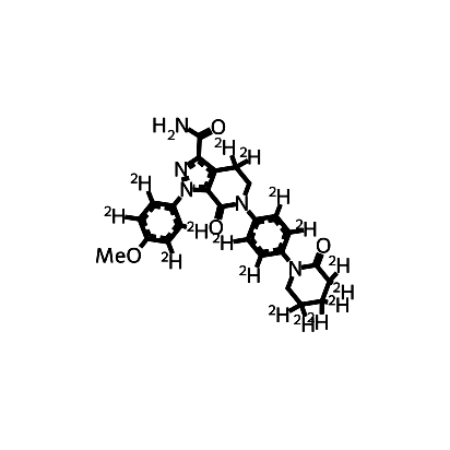 [2H]c1c([2H])c(-n2nc(C(N)=O)c3c2C(=O)N(c2c([2H])c([2H])c(N4CC([2H])([2H])C([2H])([2H])C([2H])([2H])C4=O)c([2H])c2[2H])CC3([2H])[2H])c([2H])c([2H])c1OC